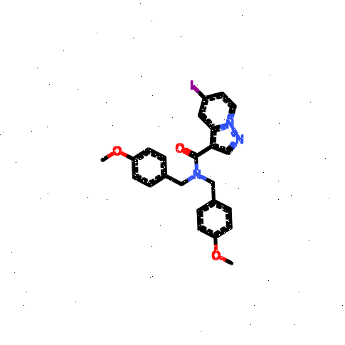 COc1ccc(CN(Cc2ccc(OC)cc2)C(=O)c2cnn3ccc(I)cc23)cc1